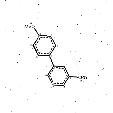 COc1ccc(-c2cncc(C=O)c2)cc1